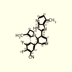 CC1=CN(c2c(-c3cc(F)c(F)c(C#N)c3)cncc2-c2nc3c(C)ccnc3[nH]2)CC1